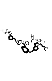 COc1cccc(CCN2CCN(C(=O)c3cccc(Cc4ccc5c(c4)c(C)c(C)n5CCCCl)c3)CC2)c1